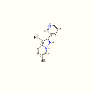 CCc1ccc2c(C#N)c(-c3cccnc3)nn2c1